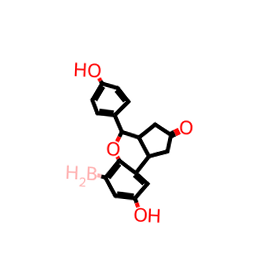 Bc1cc(O)cc2c1OC(c1ccc(O)cc1)C1CC(=O)CC21